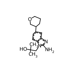 CC(C)(O)Cn1c(N)nc2cc(C3CCCOC3)ccc21